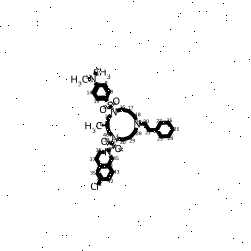 C[C@H]1CN(S(=O)(=O)c2ccc(N(C)C)cc2)CCCN(CCC2CCCCC2)CCCN(S(=O)(=O)N2CCc3cc(Cl)ccc3C2)C1